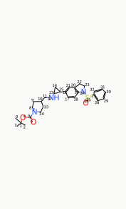 CC(C)(C)OC(=O)N1CCC(CNC2CC2c2ccc3c(c2)CCN3[S+]([O-])c2ccccc2)CC1